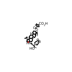 C=C(C)[C@@H]1CC[C@]2(NCC[C@H]([C@@H](C)O)N3CCS(=O)(=O)CC3)CC[C@]3(C)[C@H](CC[C@@H]4[C@@]5(C)CC[C@H](OC(=O)[C@@H]6C[C@H](C(=O)O)C6(C)C)C(C)(C)[C@@H]5CC[C@]43C)[C@@H]12